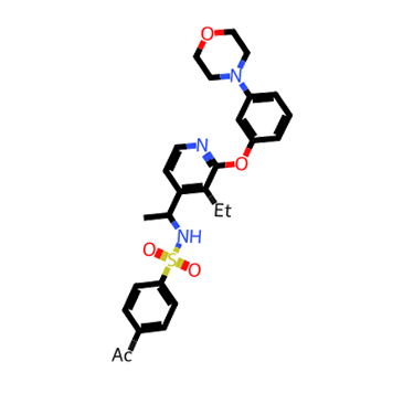 CCc1c(C(C)NS(=O)(=O)c2ccc(C(C)=O)cc2)ccnc1Oc1cccc(N2CCOCC2)c1